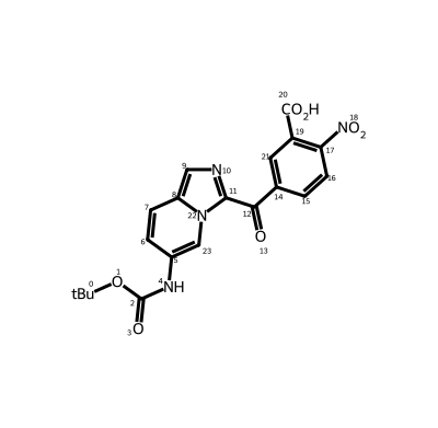 CC(C)(C)OC(=O)Nc1ccc2cnc(C(=O)c3ccc([N+](=O)[O-])c(C(=O)O)c3)n2c1